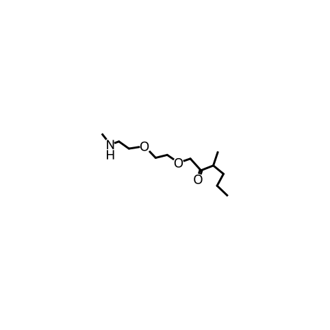 CCCC(C)C(=O)COCCOCCNC